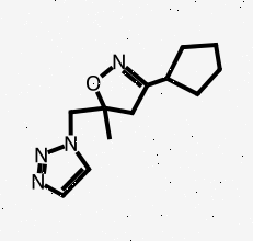 CC1(Cn2ccnn2)CC(C2CCCC2)=NO1